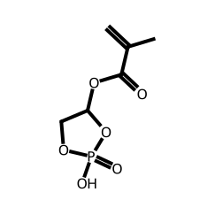 C=C(C)C(=O)OC1COP(=O)(O)O1